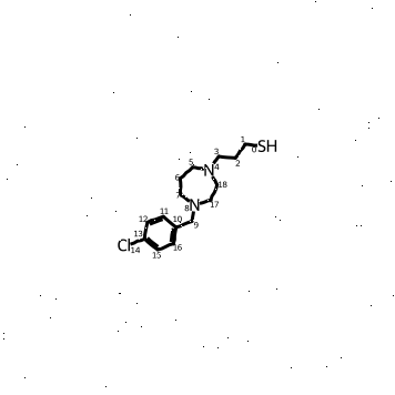 SCCCN1CCCN(Cc2ccc(Cl)cc2)CC1